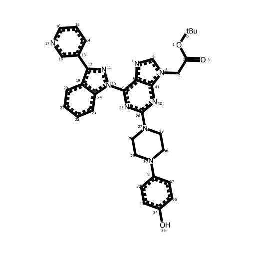 CC(C)(C)OC(=O)Cn1cnc2c(-n3nc(-c4cccnc4)c4ccccc43)nc(N3CCN(c4ccc(O)cc4)CC3)nc21